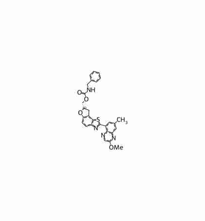 COc1cnc2c(-c3nc4ccc5c(c4s3)C[C@@H](COC(=O)NCc3ccccc3)O5)cc(C)cc2n1